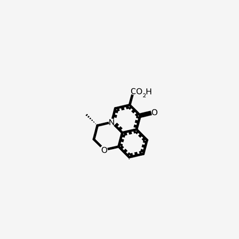 C[C@H]1COc2[c]ccc3c(=O)c(C(=O)O)cn1c23